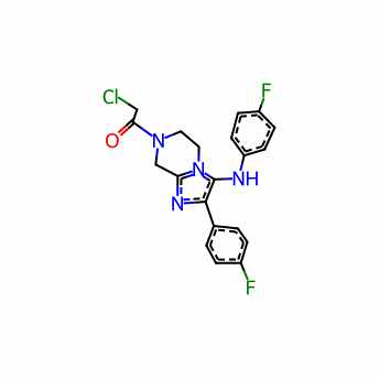 O=C(CCl)N1CCn2c(nc(-c3ccc(F)cc3)c2Nc2ccc(F)cc2)C1